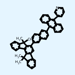 CC1(C)c2ccccc2-c2c1c(-c1ccc3cc(-c4c5ccccc5c(-c5cccnc5)c5ccccc45)ccc3c1)cc1c2C(C)(C)c2ccccc2-1